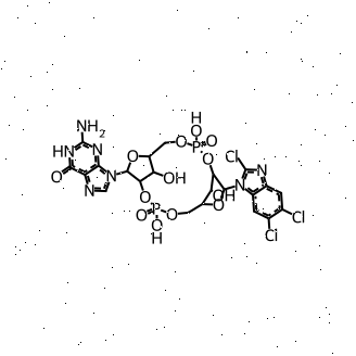 Nc1nc2c(ncn2C2OC3COP(=O)(O)OC4C(O)C(COP(=O)(O)OC2C3O)OC4n2c(Cl)nc3cc(Cl)c(Cl)cc32)c(=O)[nH]1